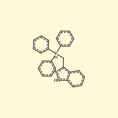 c1ccc([PH](Cc2n[nH]c3ccccc23)(c2ccccc2)c2ccccc2)cc1